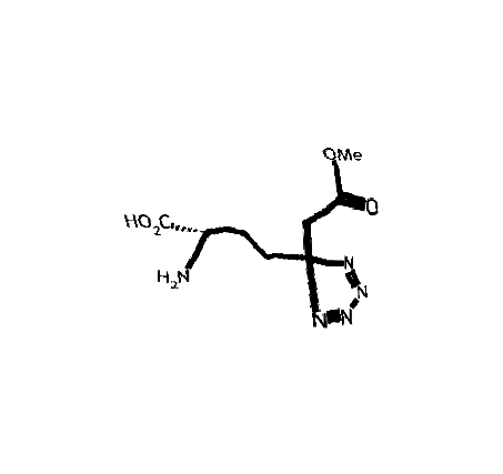 COC(=O)CC1(CC[C@H](N)C(=O)O)N=NN=N1